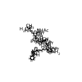 C=C(C)C(=O)NCCCC[C@H](NC(=O)[C@@H](NC(C)=O)C(C)C)C(=O)N[C@@H](CC(C)C)C(=O)NC(C)(C)C(=O)N[C@H](C(=O)N[C@@H](CCCCNC(=O)c1nnn(-c2ccccc2)n1)C(=O)N[C@@H](CC(C)C)C(N)=O)C(C)C